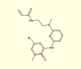 C=CC(=O)NCCN(C)c1cccc(Nc2cc(Br)cn(C)c2=O)n1